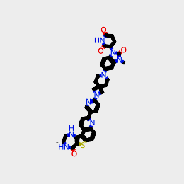 C[C@@H]1CNc2c(sc3ccc4nc(-c5ccc(N6CC7(CCN(c8ccc9c(c8)n(C)c(=O)n9C8CCC(=O)NC8=O)CC7)C6)nc5)ccc4c23)C(=O)N1